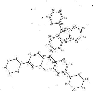 CC1C=C(C2CCCCC2)C=CC1N(c1ccc(C2CCCCC2)cc1)c1ccc2c(c1)c1ccccc1n2-c1ccccc1